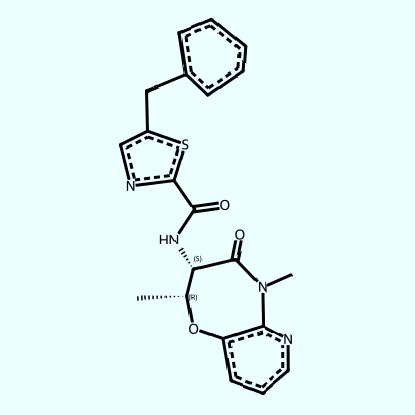 C[C@H]1Oc2cccnc2N(C)C(=O)[C@H]1NC(=O)c1ncc(Cc2ccccc2)s1